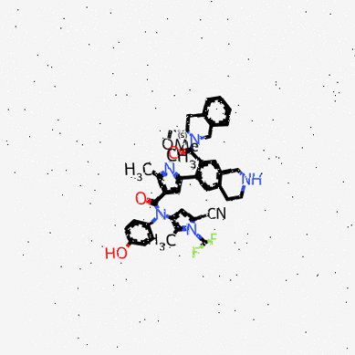 COC[C@@H]1Cc2ccccc2CN1C(=O)c1cc2c(cc1-c1cc(C(=O)N(c3ccc(O)cc3)c3cc(C#N)n(C(F)F)c3C)c(C)n1C)CCNC2